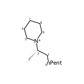 CCCCCC[C@H](C)N1CCCCC1